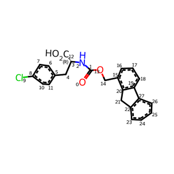 O=C(N[C@H](Cc1ccc(Cl)cc1)C(=O)O)OCc1cccc2c1Cc1ccccc1-2